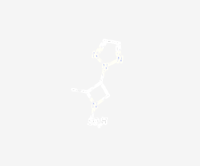 CC1C(n2nccn2)CN1S(=O)(=O)O